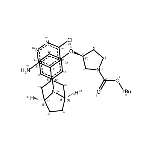 CC(C)(C)OC(=O)N1CC[C@H](Oc2cccc(N3[C@@H]4CC[C@H]3CN(c3cc(Cl)nnc3N)C4)c2)C1